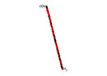 C=CCCCCCCCCCCCCCCCCCCCCCCCCCCCCCCCCCCCCCCCCCCCCCCCCCCCCCCCCCCCCCCCCCCCCCCCCCCCCCCCCCCCCCCCCCCCCC